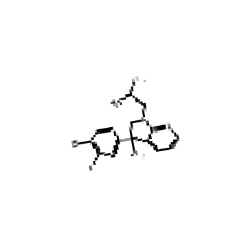 CC(C)CN1CC(C)(c2ccc(Cl)c(F)c2)c2cccnc21